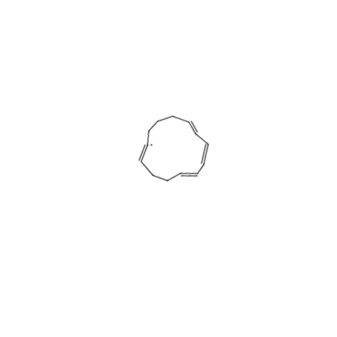 [C]1=C/CC/C=C/C=C\C=C\CCC/1